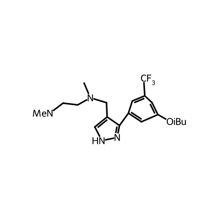 CNCCN(C)Cc1c[nH]nc1-c1cc(OCC(C)C)cc(C(F)(F)F)c1